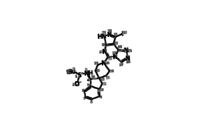 CC(C)(C)[S+]([O-])N[C@@H]1c2ccccc2CC12CCN(c1nc3[nH]nc(I)c3c3nncn13)CC2